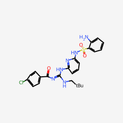 CC(C)(C)CN/C(=N/C(=O)c1ccc(Cl)cc1)Nc1cccc(NS(=O)(=O)c2ccccc2N)n1